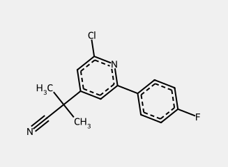 CC(C)(C#N)c1cc(Cl)nc(-c2ccc(F)cc2)c1